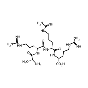 C[C@@H](N)C(=O)N[C@H](CCCNC(=N)N)C(=O)N[C@H](CCCNC(=N)N)C(=O)N[C@H](CCCNC(=N)N)C(=O)O